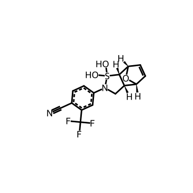 N#Cc1ccc(N2C[C@@H]3[C@@H]([C@@H]4C=C[C@H]3O4)S2(O)O)cc1C(F)(F)F